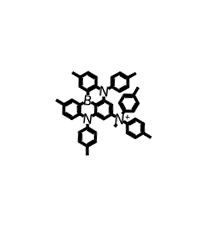 Cc1ccc(N2c3ccc(C)cc3B3c4cc(C)ccc4N(c4ccc(C)cc4)c4cc([N+](C)(c5ccc(C)cc5)c5ccc(C)cc5)cc2c43)cc1